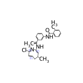 Cc1ccccc1C(=O)Nc1cccc([C@H](C)NC2=C/C(C)C/C=C/C(Cl)=N\2)c1